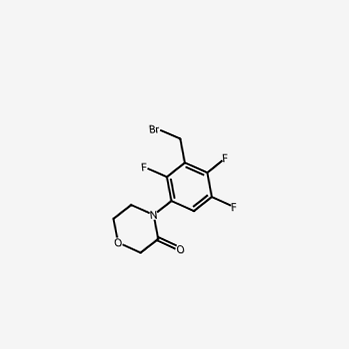 O=C1COCCN1c1cc(F)c(F)c(CBr)c1F